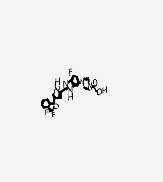 O=C(c1c[nH]c(-c2nc3c(F)cc(N4CCN(C(=O)CO)CC4)cc3[nH]2)c1)c1ccccc1C(F)(F)F